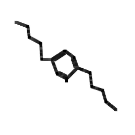 CCCCCc1[c]cc(CCCCC)cc1